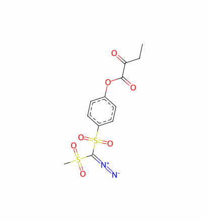 CCC(=O)C(=O)Oc1ccc(S(=O)(=O)C(=[N+]=[N-])S(C)(=O)=O)cc1